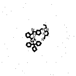 CCc1nc2ccc(C#N)nc2n1Cc1ccc2oc(-c3ccccc3-c3nnn(C(c4ccccc4)(c4ccccc4)c4ccccc4)n3)c(Br)c2c1